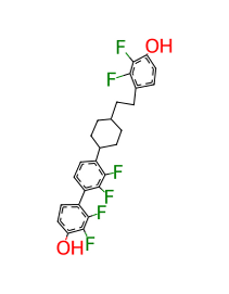 Oc1ccc(CCC2CCC(c3ccc(-c4ccc(O)c(F)c4F)c(F)c3F)CC2)c(F)c1F